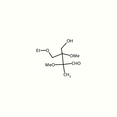 CCOCC(CO)(OC)C(C)(C=O)OC